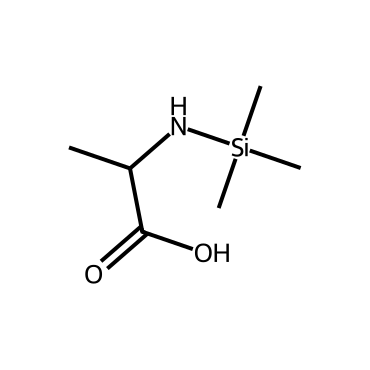 CC(N[Si](C)(C)C)C(=O)O